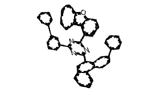 c1ccc(-c2cccc(-c3nc(-c4cc5ccccc5c5ccc(-c6ccccc6)cc45)nc(-c4cccc5oc6ccccc6c45)n3)c2)cc1